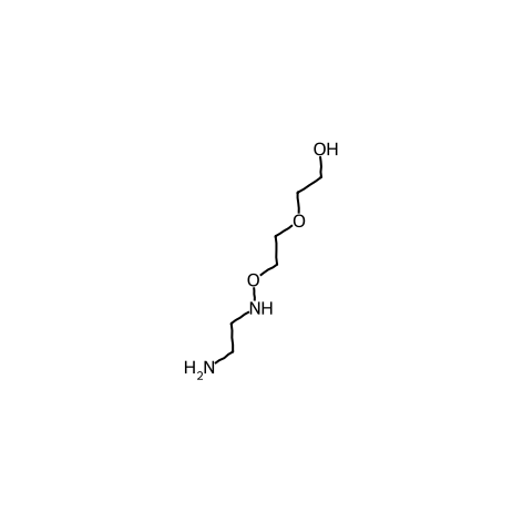 NCCNOCCOCCO